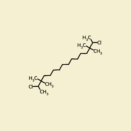 CC(Cl)C(C)(C)CCCCCCCCCCC(C)(C)C(C)Cl